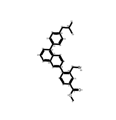 COC(=O)c1ccc(-c2ccc3c(-c4ccc(CC(C)C)cc4)cccc3c2)c(CBr)c1